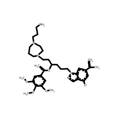 C=C(C)c1cc(Cl)c2cnn(CCCC(CCN3CCCN(CCCN)CC3)OC(=C)c3cc(OC)c(OC)c(OC)c3)c2c1